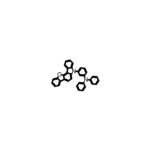 c1ccc(N(c2ccccc2)c2cccc(-n3c4ccccc4c4c5oc6ccccc6c5ccc43)c2)cc1